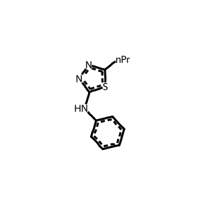 CCCc1nnc(Nc2ccccc2)s1